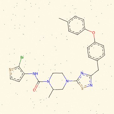 Cc1ccc(Oc2ccc(Cc3nsc(N4CCN(C(=O)Nc5ccsc5Br)C(C)C4)n3)cc2)cc1